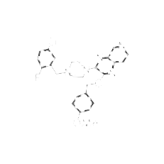 COc1ccc(COc2nc3ccncc3nc2N2CCN(Cc3cc(Cl)ccc3F)CC2)cc1